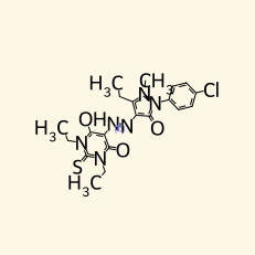 CCc1c(/N=N/c2c(O)n(CC)c(=S)n(CC)c2=O)c(=O)n(-c2ccc(Cl)cc2)n1C